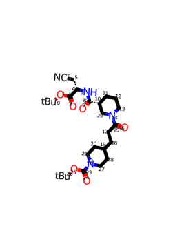 CC(C)(C)OC(=O)[C@H](CC#N)NC(=O)[C@@H]1CCCN(C(=O)CCC2CCN(C(=O)OC(C)(C)C)CC2)C1